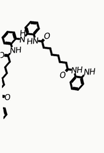 Nc1ccccc1NC(=O)CCCCCCC(=O)Nc1ccccc1Nc1ccccc1NC(=O)CCCCCCC(=O)Nc1ccccc1